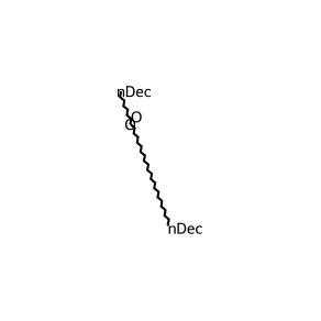 CCCCCCCCCCCCCCCCCCCCCCCCCCCCCCCCOC(=O)CCCCCCCCCCCCCCC